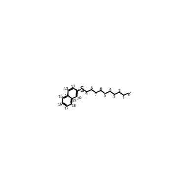 [CH2]CCCCCCCCCSc1ccc2ccccc2c1